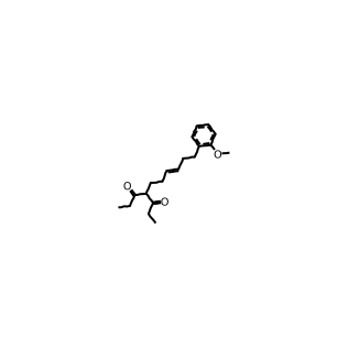 CCC(=O)C(CCC=CCCc1ccccc1OC)C(=O)CC